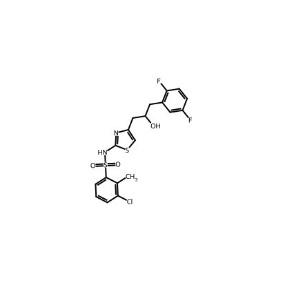 Cc1c(Cl)cccc1S(=O)(=O)Nc1nc(CC(O)Cc2cc(F)ccc2F)cs1